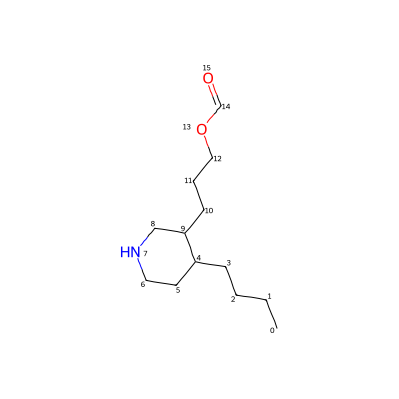 CCCCC1CCNCC1CCCOC=O